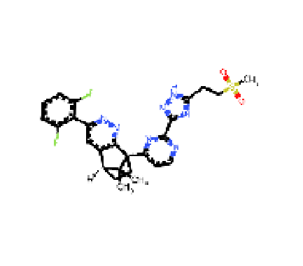 CC1(C)[C@H]2CC[C@@]1(c1ccnc(-c3n[nH]c(CCS(C)(=O)=O)n3)n1)c1nnc(-c3c(F)cccc3F)cc12